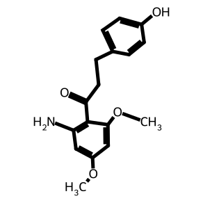 COc1cc(N)c(C(=O)CCc2ccc(O)cc2)c(OC)c1